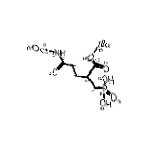 CCCCCCCCNC(=O)CCC(CP(=O)(O)O)C(=O)OC(C)(C)C